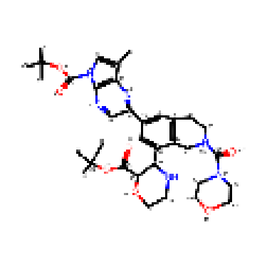 Cc1cn(C(=O)OC(C)(C)C)c2ncc(-c3cc4c(c([C@H]5NCCOC5C(=O)OC(C)(C)C)c3)CN(C(=O)N3CCOCC3)CC4)nc12